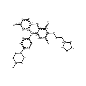 CN1CCN(c2ccc(-n3c4nc(=O)n(CCCN5CCCC5)c(=O)c-4nc4ccc(Cl)cc43)cc2)CC1